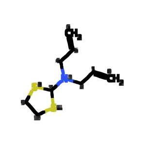 C=CCN(CC=C)C1SCCS1